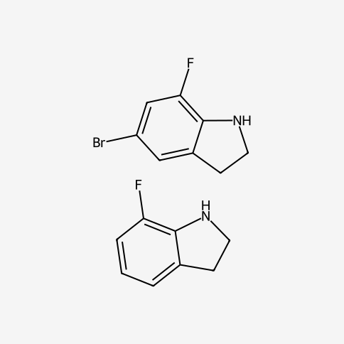 Fc1cc(Br)cc2c1NCC2.Fc1cccc2c1NCC2